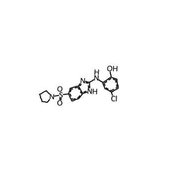 O=S(=O)(c1ccc2[nH]c(Nc3cc(Cl)ccc3O)nc2c1)N1CCCC1